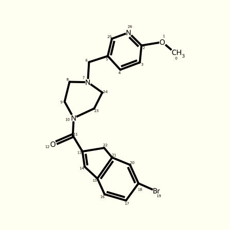 COc1ccc(CN2CCN(C(=O)C3=Cc4ccc(Br)cc4C3)CC2)cn1